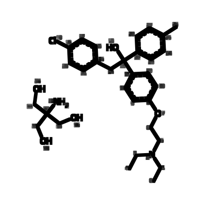 CCN(CC)CCOc1ccc(C(O)(Cc2ccc(Cl)cc2)c2ccc(C)cc2)cc1.NC(CO)(CO)CO